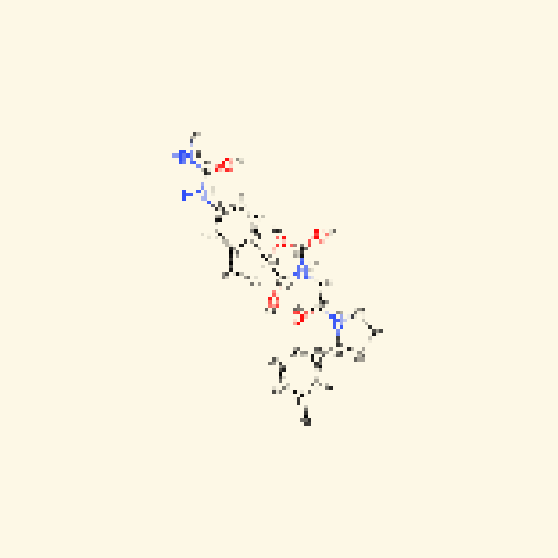 CNC(=O)Nc1ccc2c(c1)CC[C@@]21OC(=O)N(CC(=O)N2CCCC2c2cccc(C)c2)C1=O